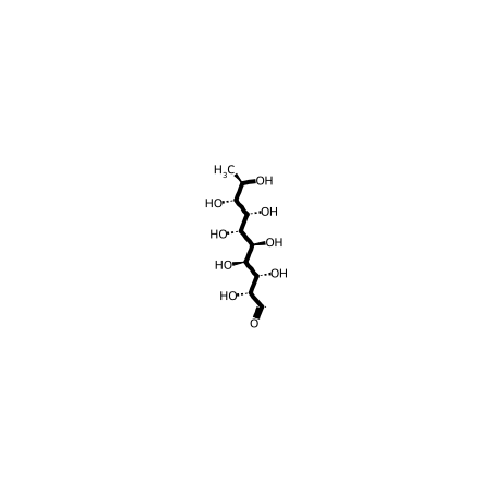 C[C@@H](O)[C@@H](O)[C@H](O)[C@@H](O)[C@@H](O)[C@H](O)[C@H](O)[C@@H](O)[C]=O